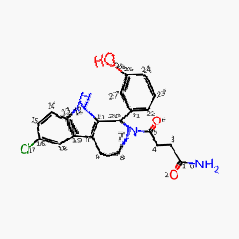 NC(=O)CCC(=O)N1CCc2c([nH]c3ccc(Cl)cc23)C1c1cccc(O)c1